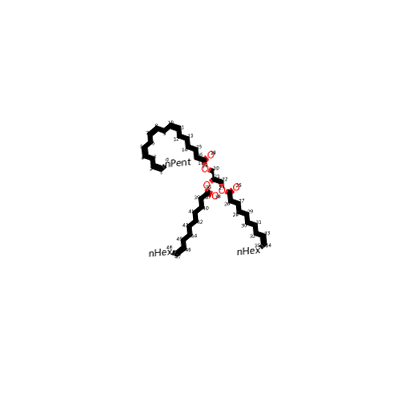 CCCCC/C=C\C/C=C\C/C=C\C/C=C\CCCCCC(=O)OC[C@@H](COC(=O)CCCCCCC/C=C\CCCCCC)OC(=O)CCCCCCC/C=C\CCCCCC